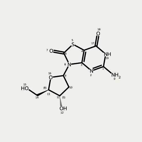 Nc1nc2c(sc(=O)n2C2C[C@H](O)[C@@H](CO)O2)c(=O)[nH]1